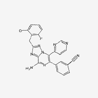 N#Cc1cccc(-c2nc(N)c3nc(Cc4c(F)cccc4Cl)nn3c2-c2ccncn2)c1